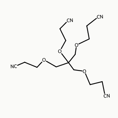 N#CCCOCC(COCCC#N)(COCCC#N)OCCC#N